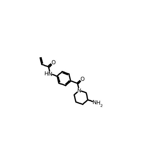 C=CC(=O)Nc1ccc(C(=O)N2CCCC(N)C2)cc1